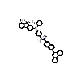 [2H]/C(=C(/[2H])c1ccc2cc(-c3cc4ccccc4c4ccccc34)ccc2c1)c1ccc(N(c2ccccc2)c2ccc3c(c2)C(C)(C)c2ccccc2-3)cc1